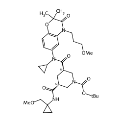 COCCCN1C(=O)C(C)(C)Oc2ccc(N(C(=O)[C@@H]3C[C@H](C(=O)NC4(COC)CC4)CN(C(=O)OC(C)(C)C)C3)C3CC3)cc21